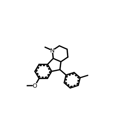 COc1ccc2c(c1)C(c1cccc(C)c1)C1CCCN(C)C21